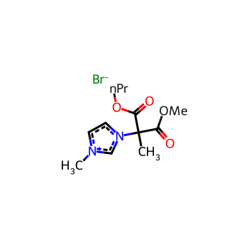 CCCOC(=O)C(C)(C(=O)OC)n1cc[n+](C)c1.[Br-]